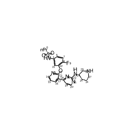 CCCS(=O)(=O)Nc1ccc(F)c(Oc2ncccc2-c2ccnc(N[C@H]3CCCNC3)n2)c1